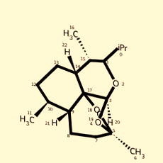 CC(C)C1O[C@H]2O[C@]3(C)CC[C@@H]4[C@@H](C)CC[C@H]([C@@H]1C)C24OO3